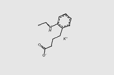 CCNc1ccccc1CCCC(=O)[O-].[K+]